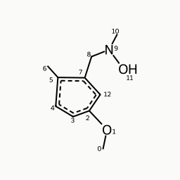 COc1ccc(C)c(CN(C)O)c1